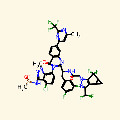 Cc1cc(-c2ccc3c(=O)n(-c4ccc(Cl)c5c(N[S+](C)[O-])nn(C)c45)c(C(Cc4cc(F)cc(F)c4)NC(=O)Cn4nc(C(F)F)c5c4C(F)(F)C4CC54)nc3c2)nc(C(F)(F)F)n1